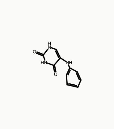 O=c1[nH]cc(Nc2ccccc2)c(=O)[nH]1